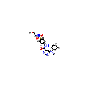 CN(c1cc(C(=O)Nc2ccc(S(=O)(=O)NCCO)cc2)ncn1)C1CCCCC1